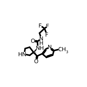 Cc1ccc(C(=O)[C@@]2(NC(=O)NCC(F)(F)F)CCNC2)cn1